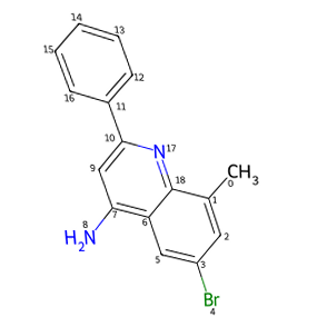 Cc1cc(Br)cc2c(N)cc(-c3ccccc3)nc12